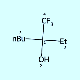 [CH2]CC(O)(CCCC)C(F)(F)F